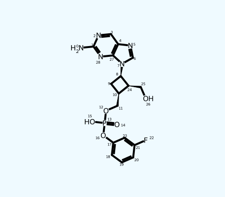 Nc1ncc2ncn([C@@H]3C[C@H](COP(=O)(O)Oc4cccc(F)c4)[C@@H]3CO)c2n1